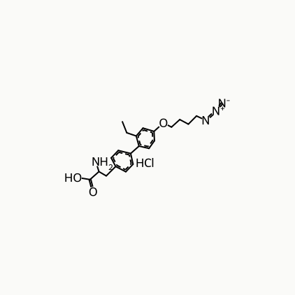 CCc1cc(OCCCCN=[N+]=[N-])ccc1-c1ccc(CC(N)C(=O)O)cc1.Cl